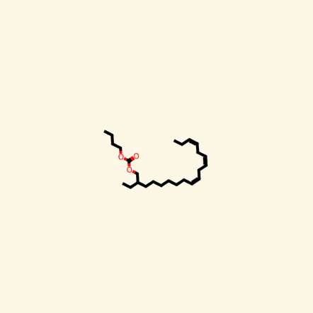 CC/C=C\C/C=C\C/C=C\CCCCCCC(CC)COC(=O)OCCCC